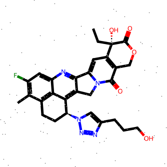 CC[C@@]1(O)C(=O)OCc2c1cc1n(c2=O)Cc2c-1nc1cc(F)c(C)c3c1c2[C@@H](n1cc(CCCO)nn1)CC3